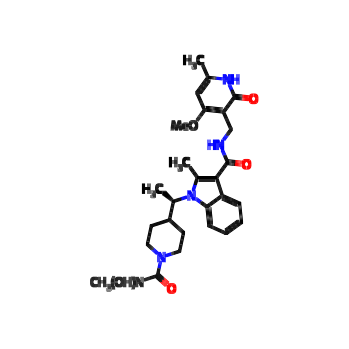 COc1cc(C)[nH]c(=O)c1CNC(=O)c1c(C)n([C@H](C)C2CCN(C(=O)N(C)O)CC2)c2ccccc12